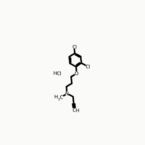 C#CCN(C)CCCOc1ccc(Cl)cc1Cl.Cl